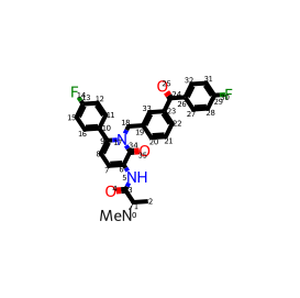 CN[C@@H](C)C(=O)Nc1ccc(-c2ccc(F)cc2)n(Cc2cccc(C(=O)c3ccc(F)cc3)c2)c1=O